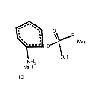 Cl.Nc1ccccc1.O=P(O)(O)F.[Mn].[NaH]